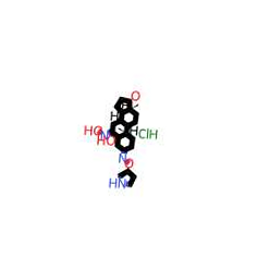 C[C@]12CC[C@H]3[C@@H](C/C(=N\O)[C@@]4(O)C/C(=N/O[C@@H]5CCNC5)CC[C@]34C)[C@@H]1CCC2=O.Cl